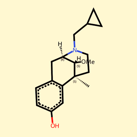 CO[C@@H]1[C@H]2Cc3ccc(O)cc3[C@]1(C)CCN2CC1CC1